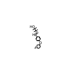 CN1CC[C@H](Oc2ccc(BOC(C)(C)C(C)(C)O)cc2)C1